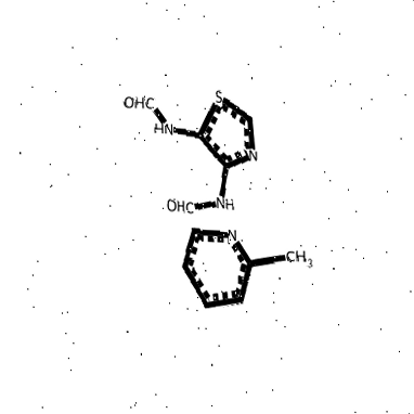 Cc1ccccn1.O=CNc1ncsc1NC=O